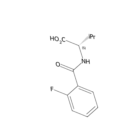 CC(C)[C@H](NC(=O)c1ccccc1F)C(=O)O